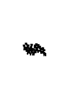 C=[C](CN1CCN(C2=Cc3cc(C#N)ccc3Sc3ccccc32)CC1)[Sn]([CH2]CCC)([CH2]CCC)[CH2]CCC